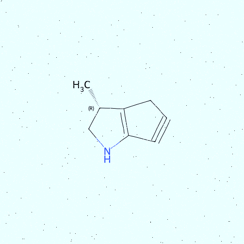 C[C@H]1CNC2=C1CC#C2